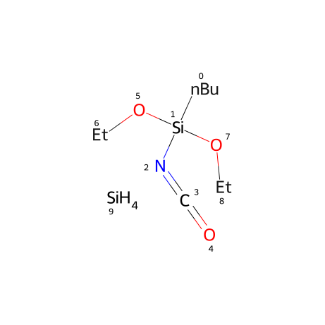 CCCC[Si](N=C=O)(OCC)OCC.[SiH4]